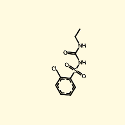 CCNC(=O)NS(=O)(=O)c1ccccc1Cl